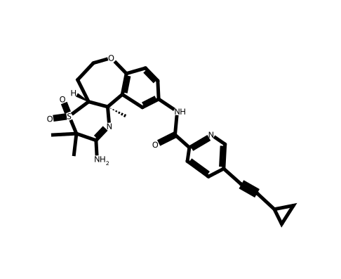 CC1(C)C(N)=N[C@]2(C)c3cc(NC(=O)c4ccc(C#CC5CC5)cn4)ccc3OCC[C@H]2S1(=O)=O